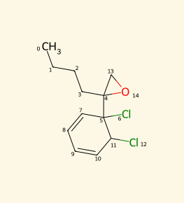 CCCCC1(C2(Cl)C=CC=CC2Cl)CO1